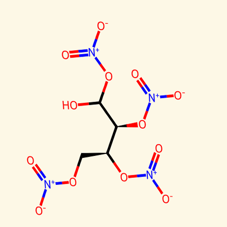 O=[N+]([O-])OC[C@H](O[N+](=O)[O-])[C@H](O[N+](=O)[O-])C(O)O[N+](=O)[O-]